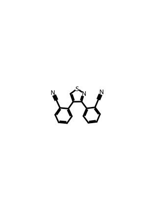 N#Cc1ccccc1-c1csnc1-c1ccccc1C#N